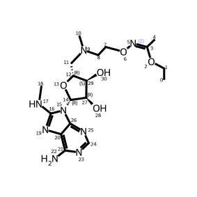 CCO/C(C)=N\OCCN(C)C[C@H]1O[C@@H](n2c(NC)nc3c(N)ncnc32)[C@H](O)[C@@H]1O